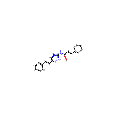 O=C(/C=C/c1ccccc1)Nc1ncc(/C=C/c2ccccc2)cn1